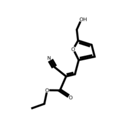 CCOC(=O)/C(C#N)=C/c1ccc(CO)o1